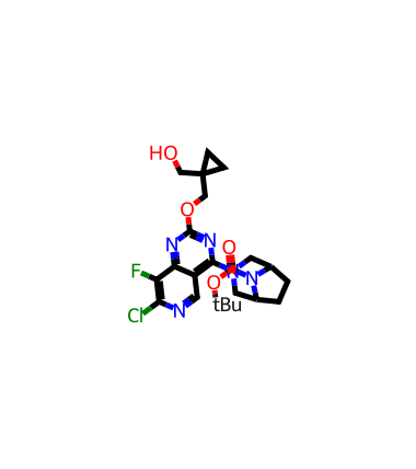 CC(C)(C)OC(=O)N1C2CCC1CN(c1nc(OCC3(CO)CC3)nc3c(F)c(Cl)ncc13)C2